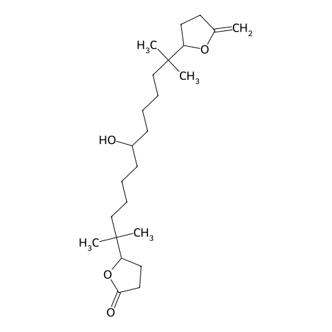 C=C1CCC(C(C)(C)CCCCC(O)CCCCC(C)(C)C2CCC(=O)O2)O1